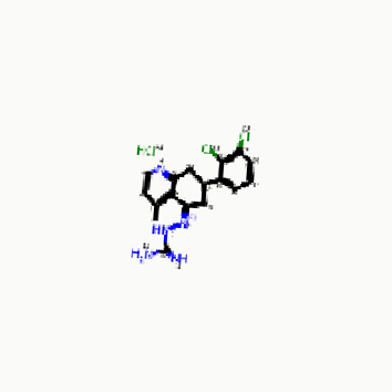 Cc1ccnc2c1/C(=N\NC(=N)N)CC(c1cccc(Cl)c1Cl)C2.Cl